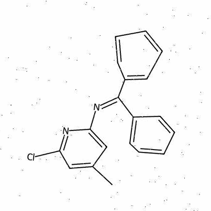 Cc1cc(Cl)nc(N=C(c2ccccc2)c2ccccc2)c1